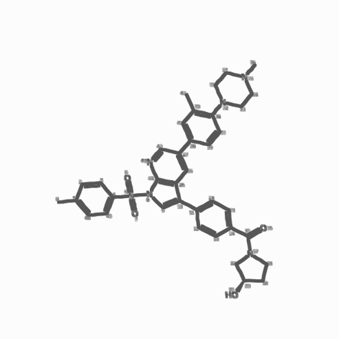 Cc1ccc(S(=O)(=O)n2cc(-c3ccc(C(=O)N4CC[C@@H](O)C4)cc3)c3cc(-c4ccc(N5CCN(C)CC5)c(C)c4)cnc32)cc1